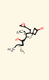 CC[C@@H](C)CC(O)C[C@@H](C)C(CC1CO1)C1(C)CC(O)C1